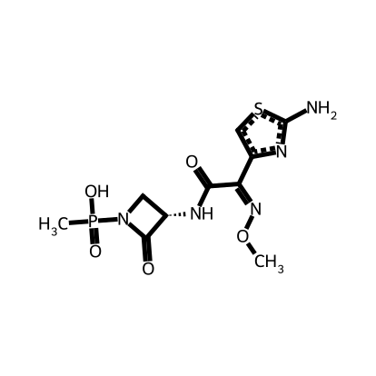 CON=C(C(=O)N[C@H]1CN(P(C)(=O)O)C1=O)c1csc(N)n1